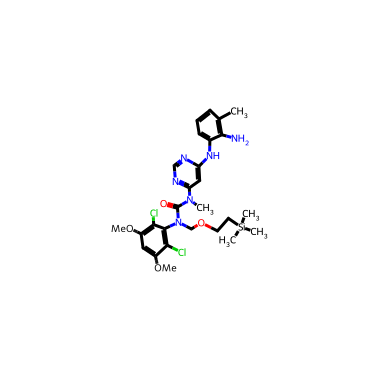 COc1cc(OC)c(Cl)c(N(COCC[Si](C)(C)C)C(=O)N(C)c2cc(Nc3cccc(C)c3N)ncn2)c1Cl